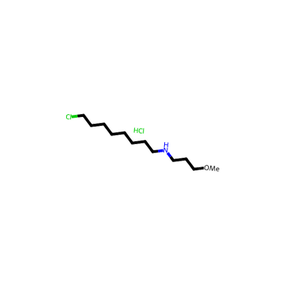 COCCCNCCCCCCCCCl.Cl